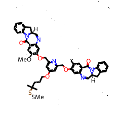 COc1cc2c(cc1OCc1cc(OCCCC(C)(C)SSC)cc(COc3cc4c(cc3C)C(=O)N3c5ccccc5C[C@H]3C=N4)n1)N=C[C@@H]1Cc3ccccc3N1C2=O